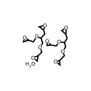 C(OCC(CC1CO1)OCC1CO1)C1CO1.C(OCC(CC1CO1)OCC1CO1)C1CO1.O